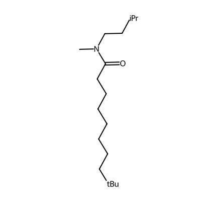 CC(C)CCN(C)C(=O)CCCCCCCC(C)(C)C